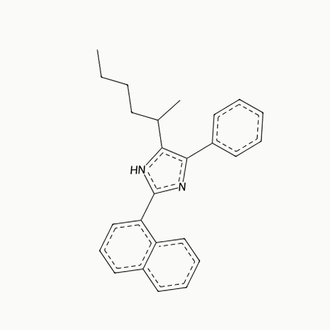 CCCCC(C)c1[nH]c(-c2cccc3ccccc23)nc1-c1ccccc1